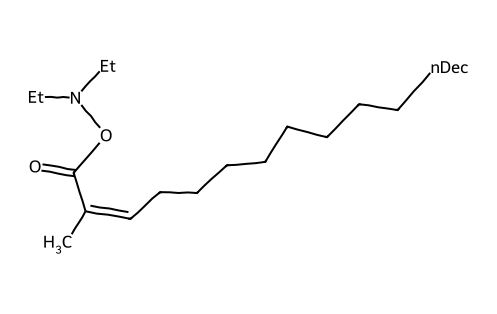 CCCCCCCCCCCCCCCCCCC=C(C)C(=O)ON(CC)CC